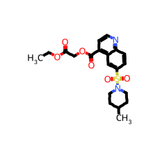 CCOC(=O)COC(=O)c1ccnc2ccc(S(=O)(=O)N3CCC(C)CC3)cc12